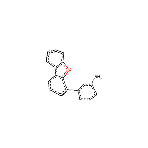 Bc1cccc(-c2cccc3c2oc2ccccc23)c1